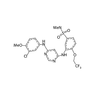 CNS(=O)(=O)c1ccc(OCC(F)(F)F)c(Nc2cc(Nc3ccc(OC)c(Cl)c3)ncn2)c1